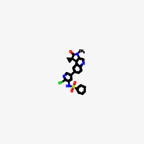 CN1C(=O)C2(CC2)c2c1cnc1ccc(-c3cnc(Cl)c(NS(=O)(=O)c4ccccc4)c3)cc21